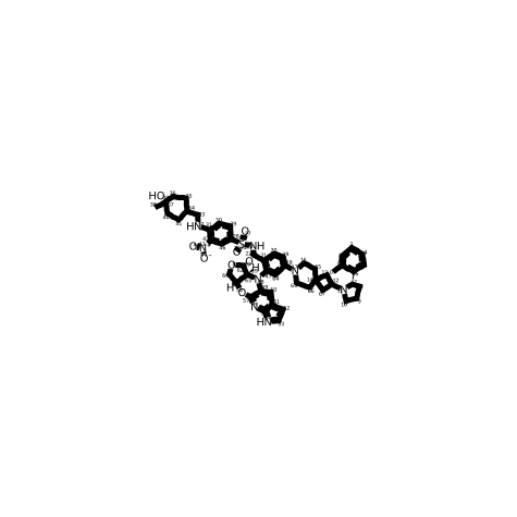 Cc1ccccc1[C@@H]1CCCN1C1CC2(CCN(c3ccc(C(=O)NS(=O)(=O)c4ccc(NCC5CCC(C)(O)CC5)c([N+](=O)[O-])c4)c(N4c5cc6cc[nH]c6nc5O[C@@H]5COC[C@H]54)c3)CC2)C1